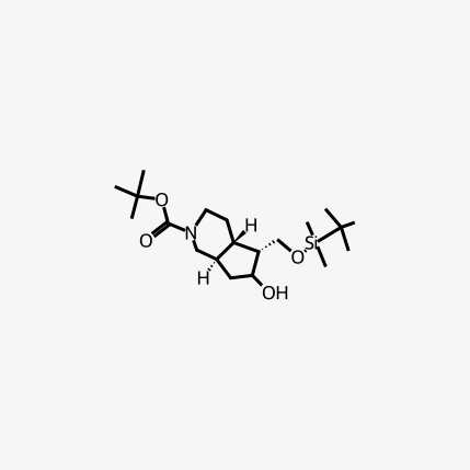 CC(C)(C)OC(=O)N1CC[C@H]2[C@@H](CC(O)[C@H]2CO[Si](C)(C)C(C)(C)C)C1